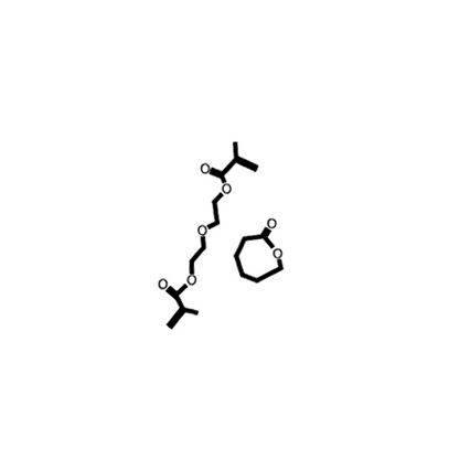 C=C(C)C(=O)OCCOCCOC(=O)C(=C)C.O=C1CCCCCO1